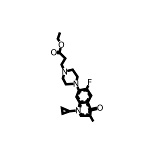 CCOC(=O)CCN1CCN(c2cc3c(cc2F)c(=O)c(C)cn3C2CC2)CC1